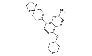 Nc1ncc2c(OC3CCOCC3)ncc(C3=CCC4(CC3)OCCO4)c2n1